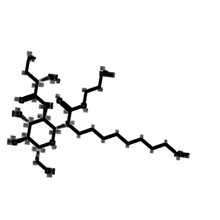 CCCCCCCCCCCCCCCCCCN(C(=O)OCCCCCCCCCCCC)[C@@H]1O[C@H](CO)[C@@H](O)[C@H](O)[C@H]1NC(=O)[C@@H](N)CC(C)C